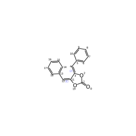 O=c1oc(=C\c2ccccc2)/c(=C\c2ccccc2)o1